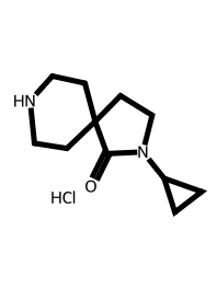 Cl.O=C1N(C2CC2)CCC12CCNCC2